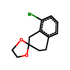 Brc1cccc2c1CC1(CC2)OCCO1